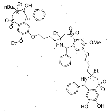 CCCC[C@]1(CC)CS(=O)(=O)c2cc(OCC)c(OCCCCC3(CC)CS(=O)(=O)c4cc(OC)c(OCCCC5(CC)CS(=O)(=O)c6cc(O)c(O)cc6C(c6ccccc6)N5)cc4C(c4ccccc4)N3)cc2[C@@H](c2ccccc2)N1O